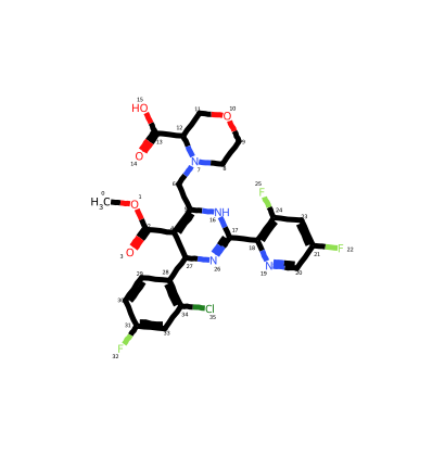 COC(=O)C1=C(CN2CCOCC2C(=O)O)NC(c2ncc(F)cc2F)=NC1c1ccc(F)cc1Cl